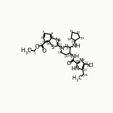 CCOC(=O)c1cccc2nc(N3CCC(NC(=O)c4nc(Cl)c(CC)[nH]4)C(NC4CCCC4)C3)sc12